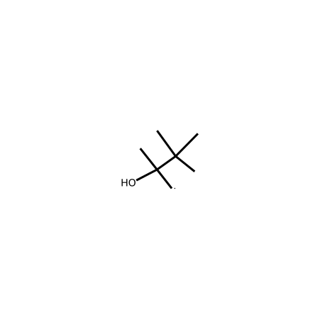 [CH2]C(C)(O)C(C)(C)C